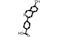 O=C(O)c1ccc(-c2cc3ccc(O)cc3cn2)cc1